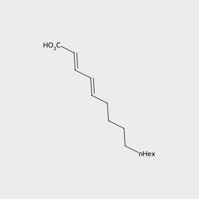 CCCCCCCCCC/C=C/C=C/C(=O)O